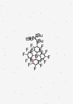 CC(C)(C)[NH+](C(C)(C)C)C(C)(C)C.Fc1c(F)c(F)c([B-](c2c(F)c(F)c(F)c(F)c2F)(c2c(F)c(F)c(F)c(F)c2F)c2c(F)c(F)c(F)c(F)c2F)c(F)c1F